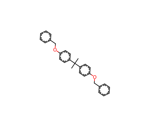 CC(C)(c1ccc(OCc2ccccc2)cc1)c1ccc(OCc2ccccc2)cc1